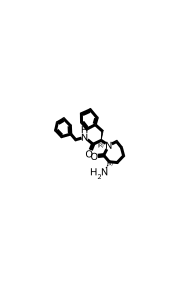 N[C@H]1CCCCN([C@H](Cc2ccccc2)C(=O)NCc2ccccc2)C1=O